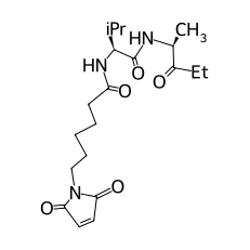 CCC(=O)[C@H](C)NC(=O)[C@@H](NC(=O)CCCCCN1C(=O)C=CC1=O)C(C)C